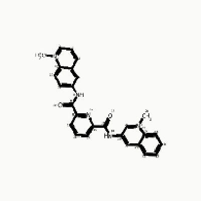 C[n+]1cccc2cc(NC(=O)c3cccc(C(=O)Nc4cc5ccccc5[n+](C)c4)n3)ccc21